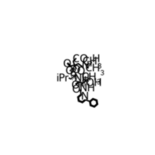 CC(C)C[C@H](NC(=O)[C@@H](NC(=O)c1cccc(-c2ccccc2)n1)[C@@H](C)O)B1OC(=O)C(CC(=O)O)(CC(=O)N(C)C)O1